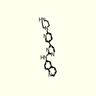 c1cnc2ccc(Nc3nccc(-c4ccc(N5CCNCC5)nc4)n3)cc2c1